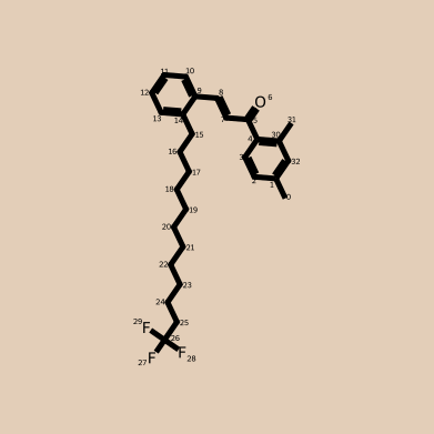 Cc1ccc(C(=O)C=Cc2ccccc2CCCCCCCCCCCC(F)(F)F)c(C)c1